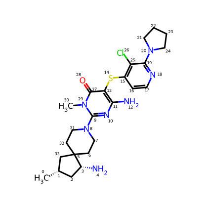 C[C@H]1C[C@@H](N)C2(CCN(c3nc(N)c(Sc4ccnc(N5CCCC5)c4Cl)c(=O)n3C)CC2)C1